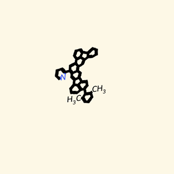 Cc1cccc(C)c1-c1ccc2c3cc4c(cc3c3cccc1c32)c(-c1ccccn1)cc1c4cc2c3ccccc3c3cccc1c32